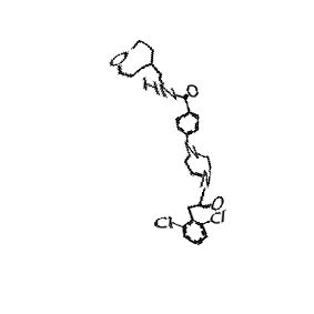 O=C(NCC1CCOCC1)c1ccc(N2CCN(C(=O)Cc3c(Cl)cccc3Cl)CC2)cc1